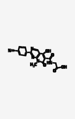 Cn1c(=O)c(C(=O)NCC(=O)O)c(O)c2cnc(-c3ccc(C#N)cc3)nc21